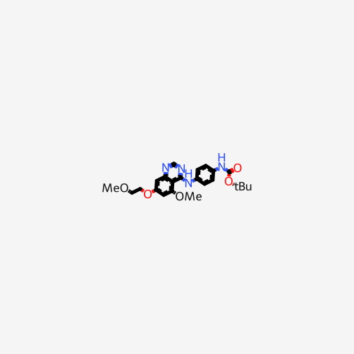 COCCOc1cc(OC)c2c(Nc3ccc(NC(=O)OC(C)(C)C)cc3)ncnc2c1